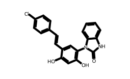 O=c1[nH]c2ccccc2n1-c1cc(C=Cc2ccc(Cl)cc2)c(O)cc1O